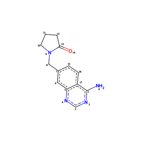 Nc1ncnc2cc(CN3CCCC3=O)ccc12